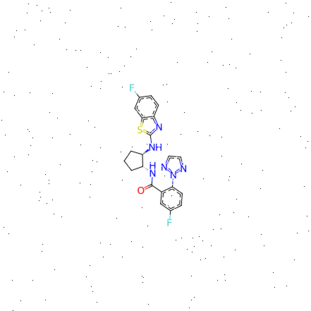 O=C(N[C@@H]1CCC[C@H]1Nc1nc2ccc(F)cc2s1)c1cc(F)ccc1-n1nccn1